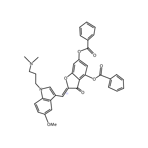 COc1ccc2c(c1)c(/C=C1\Oc3cc(OC(=O)c4ccccc4)cc(OC(=O)c4ccccc4)c3C1=O)cn2CCCN(C)C